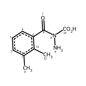 Cc1cccc(C(=O)N(N)C(=O)O)c1C